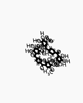 COc1cc(C(=O)c2ccc(C(=O)c3cc(OC)c(O)c(O)c3O)cc2)c(O)c(O)c1O.O=C(c1ccc(C(=O)c2cc([N+](=O)[O-])c(O)c(O)c2O)cc1)c1cc([N+](=O)[O-])c(O)c(O)c1O